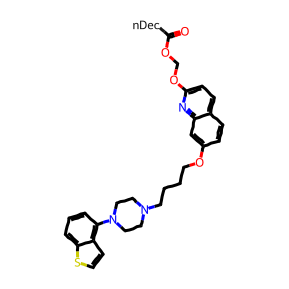 CCCCCCCCCCC(=O)OCOc1ccc2ccc(OCCCCN3CCN(c4cccc5sccc45)CC3)cc2n1